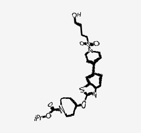 CC(C)OC(=O)N1CCC(Oc2nc3ccc(C4=CCN(S(=O)(=O)CCCCO)CC4)cc3s2)CC1